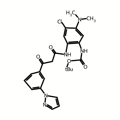 CN(C)c1cc(NC(=O)OC(C)(C)C)c(NC(=O)CC(=O)c2cccc(-n3cccn3)c2)cc1Cl